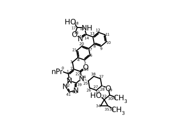 CCCc1c(Cc2ccc(-c3ccccc3C3=NOC(O)N3)cc2)c(=O)n([C@H]2CC[C@H](OC(C)C3(O)CC3C)CC2)c2ncnn12